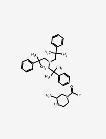 CC(C)([CH2][Sn+]([CH2]C(C)(C)c1ccccc1)[CH2]C(C)(C)c1ccccc1)c1ccccc1.NC1CN(C(=O)[O-])CCN1